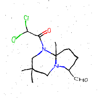 CC1(C)CN(C(=O)C(Cl)Cl)C2(C)CCC(C=O)N2C1